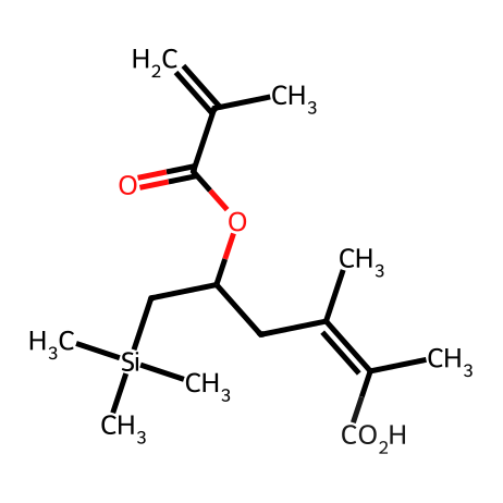 C=C(C)C(=O)OC(CC(C)=C(C)C(=O)O)C[Si](C)(C)C